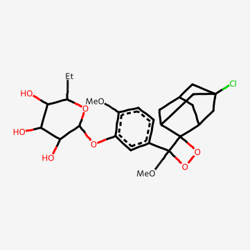 CCC1OC(Oc2cc(C3(OC)OOC34C3CC5CC4CC(Cl)(C5)C3)ccc2OC)C(O)C(O)C1O